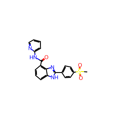 CS(=O)(=O)c1ccc(-c2nc3c(C(=O)Nc4ccccn4)cccc3[nH]2)cc1